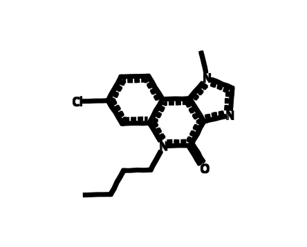 CCCCn1c(=O)c2ncn(C)c2c2ccc(Cl)cc21